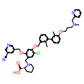 Cc1c(COc2cc(OCc3cncc(C#N)c3)c(CN3CCCC[C@H]3C(=O)O)cc2Cl)cccc1-c1cccc(OCCCN(C)Cc2ccccn2)c1C